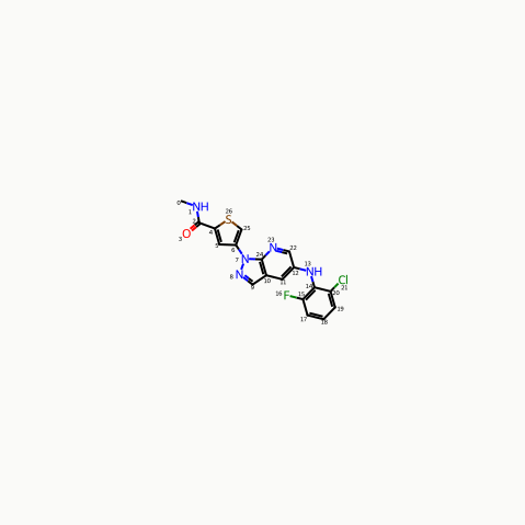 CNC(=O)c1cc(-n2ncc3cc(Nc4c(F)cccc4Cl)cnc32)cs1